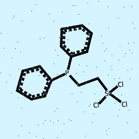 Cl[Si](Cl)(Cl)CCP(c1ccccc1)c1ccccc1